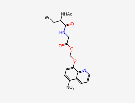 CC(=O)NC(CC(C)C)C(=O)NCC(=O)OCOc1ccc([N+](=O)[O-])c2cccnc12